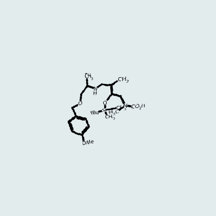 COc1ccc(COCC(C)NCC(C)C(CN(C)C(=O)O)O[Si](C)(C)C(C)(C)C)cc1